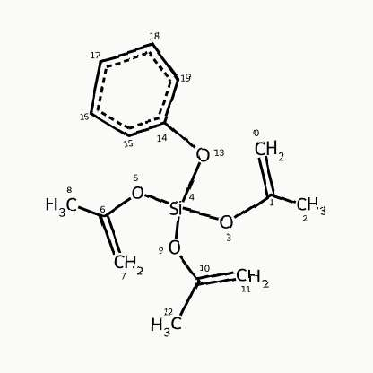 C=C(C)O[Si](OC(=C)C)(OC(=C)C)Oc1ccccc1